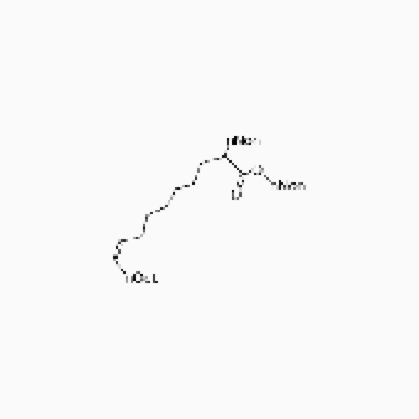 CCCCCCCC/C=C\CCCCCCC(CCCCCCCCC)C(=O)OCCCCCCCCC